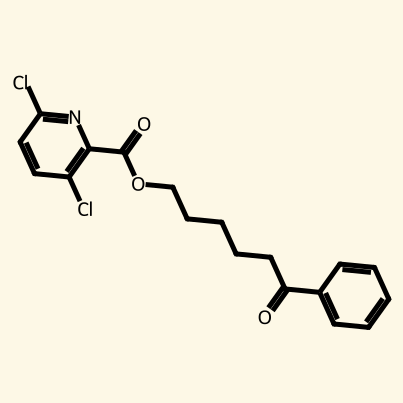 O=C(CCCCCOC(=O)c1nc(Cl)ccc1Cl)c1ccccc1